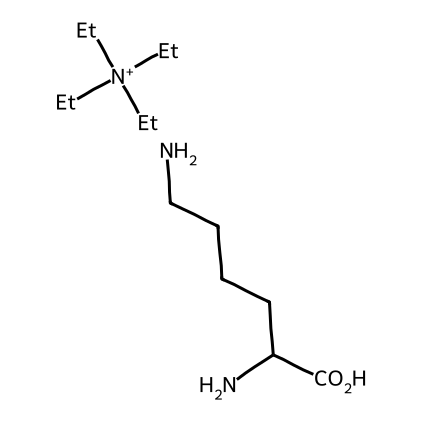 CC[N+](CC)(CC)CC.NCCCCC(N)C(=O)O